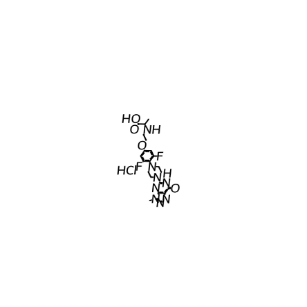 CC(NCCOc1cc(F)c(N2CCN(c3nc4c(nnn4C)c(=O)[nH]3)CC2)c(F)c1)C(=O)O.Cl